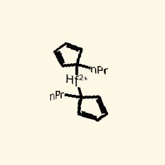 CCC[C]1([Hf+2][C]2(CCC)C=CC=C2)C=CC=C1